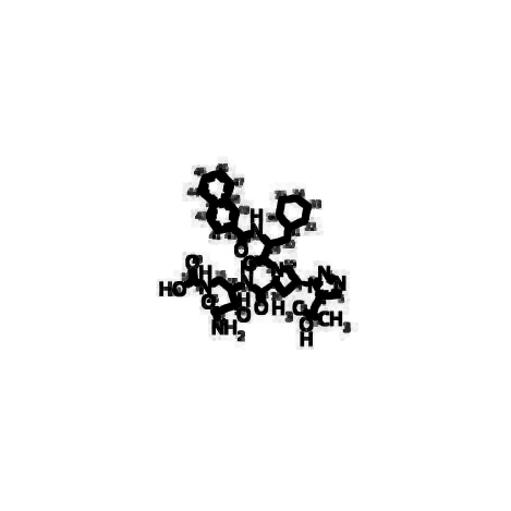 CC(C)(O)c1cnnn1[C@H]1C[C@@H](C(=O)NC(CNC(=O)O)C(O)C(N)=O)N(C(=O)C(CC2CCCCC2)NC(=O)c2ccc3ccccc3c2)C1